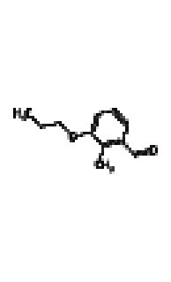 CCCOc1cccc(C=O)c1C